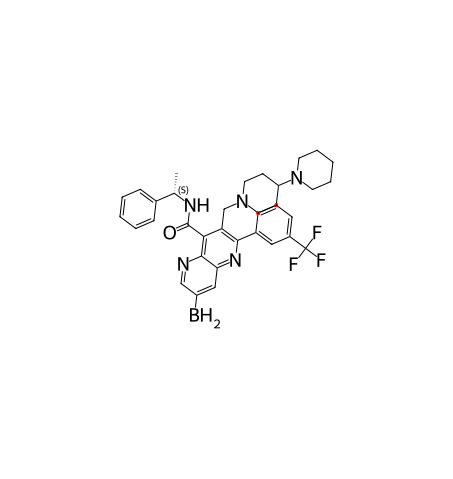 Bc1cnc2c(C(=O)N[C@@H](C)c3ccccc3)c(CN3CCC(N4CCCCC4)CC3)c(-c3cccc(C(F)(F)F)c3)nc2c1